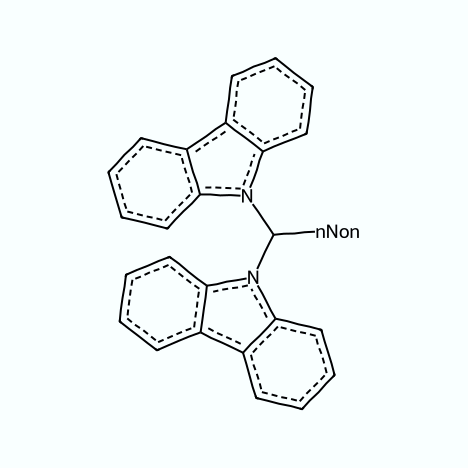 CCCCCCCCCC(n1c2ccccc2c2ccccc21)n1c2ccccc2c2ccccc21